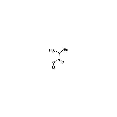 CCOC(=O)C(C)C(C)(C)C